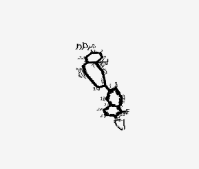 CCC[C@@H]1CC[C@@H]2CC(c3ccc4c(F)c(Cl)ccc4c3)CCC2C1